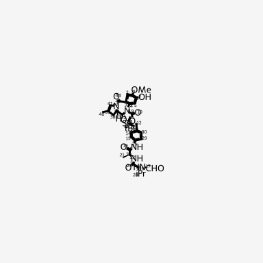 COc1cc2c(cc1O)N(C(=O)OCc1ccc(NC(=O)[C@H](C)NC(=O)[C@@H](NC=O)C(C)C)cc1)[C@@H](O[Si](C)(C)C(C)(C)C)[C@@H]1CC(C)=CN1C2=O